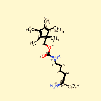 CC1=C(C)C(C)(COC(=O)NCCCC[C@H](N)C(=O)O)C(C)=C1C